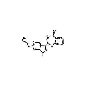 O=C1NCC(c2c[nH]c3nc(CC4CCC4)ncc23)Oc2ccccc21